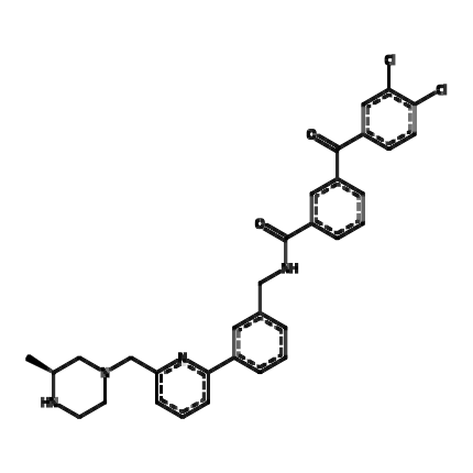 C[C@H]1CN(Cc2cccc(-c3cccc(CNC(=O)c4cccc(C(=O)c5ccc(Cl)c(Cl)c5)c4)c3)n2)CCN1